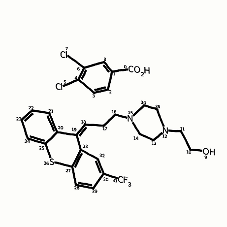 O=C(O)c1ccc(Cl)c(Cl)c1.OCCN1CCN(CC/C=C2/c3ccccc3Sc3ccc(C(F)(F)F)cc32)CC1